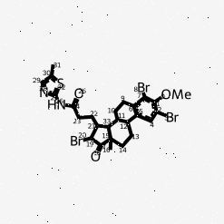 COc1c(Br)cc2c(c1Br)CCC1C2CCC2(C)C(=O)C(Br)C(CCC(=O)Nc3ncc(C)s3)C12